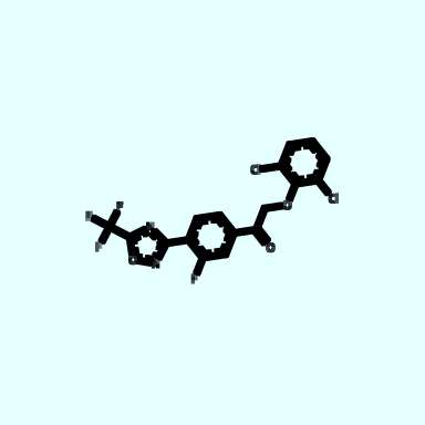 O=C(COc1c(Cl)cccc1Cl)c1ccc(-c2noc(C(F)(F)F)n2)c(F)c1